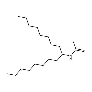 C=C(C)NC(CCCCCCCC)CCCCCCCC